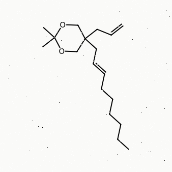 C=CCC1(CC=CCCCCCC)COC(C)(C)OC1